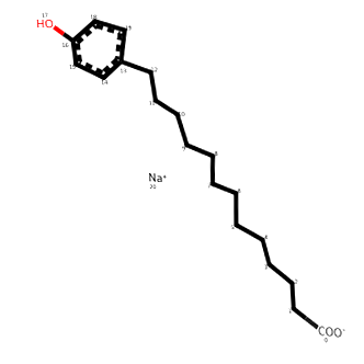 O=C([O-])CCCCCCCCCCCCc1ccc(O)cc1.[Na+]